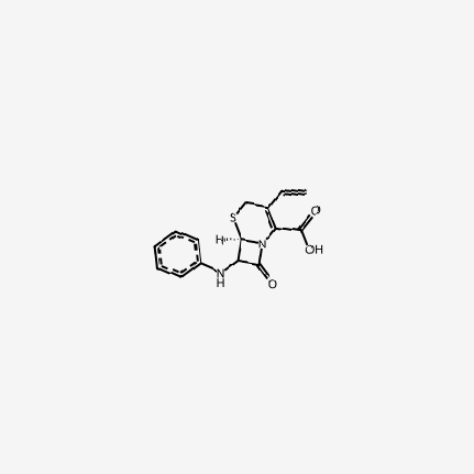 C=CC1=C(C(=O)O)N2C(=O)C(Nc3ccccc3)[C@H]2SC1